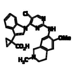 COc1cc2c(cc1Nc1ncc(Cl)c(-n3cc(C4(C(=O)O)CC4)c4ccccc43)n1)CN(C)CC2